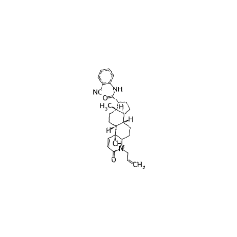 C=CCN1C(=O)C=C[C@@]2(C)C1CC[C@@H]1[C@H]2CC[C@]2(C)C(C(=O)Nc3ccccc3C#N)CC[C@@H]12